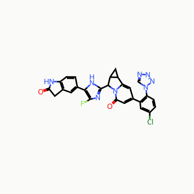 O=C1Cc2cc(-c3[nH]c(C4C5CC5c5cc(-c6cc(Cl)ccc6-n6cnnn6)cc(=O)n54)nc3F)ccc2N1